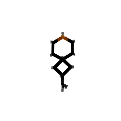 CC(C)C1CC2(CCSCC2)C1